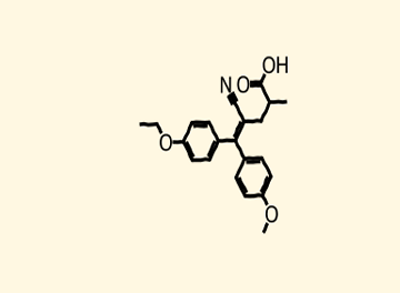 CCOc1ccc(C(=C(C#N)CC(C)C(=O)O)c2ccc(OC)cc2)cc1